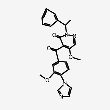 COc1cc(C(=O)c2c(OC)cnn(C(C)c3ccccc3)c2=O)ccc1-n1ccnc1